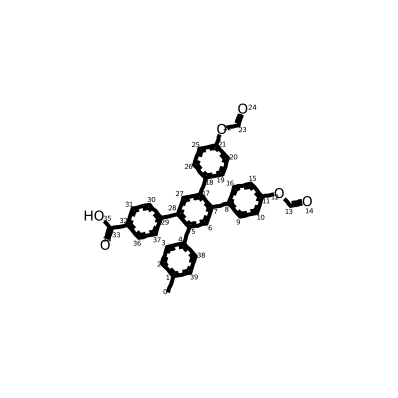 Cc1ccc(-c2cc(-c3ccc(OC=O)cc3)c(-c3ccc(OC=O)cc3)cc2-c2ccc(C(=O)O)cc2)cc1